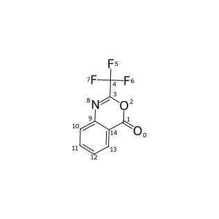 O=c1oc(C(F)(F)F)nc2ccccc12